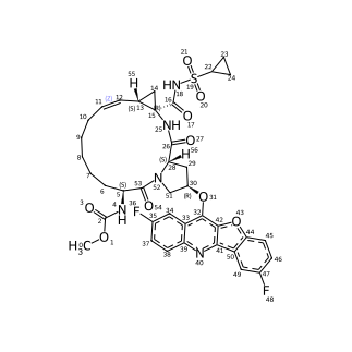 COC(=O)N[C@H]1CCCCC/C=C\[C@@H]2C[C@@]2(C(=O)NS(=O)(=O)C2CC2)NC(=O)[C@@H]2C[C@@H](Oc3c4cc(F)ccc4nc4c3oc3ccc(F)cc34)CN2C1=O